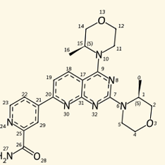 C[C@H]1COCCN1c1nc(N2CCOC[C@@H]2C)c2ccc(-c3ccnc(C(N)=O)c3)nc2n1